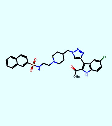 CC(C)COC(=O)c1[nH]c2ccc(Cl)cc2c1-c1cn(CC2CCN(CCNS(=O)(=O)c3ccc4ccccc4c3)CC2)nn1